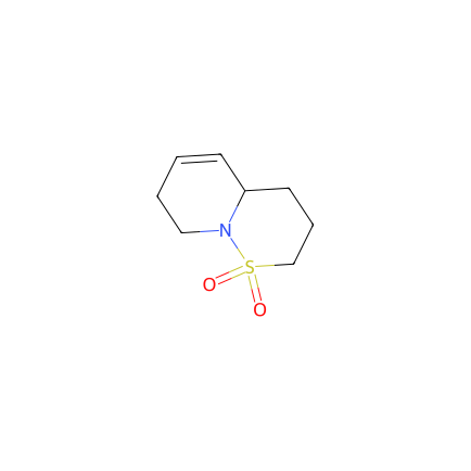 O=S1(=O)CCCC2C=CCCN21